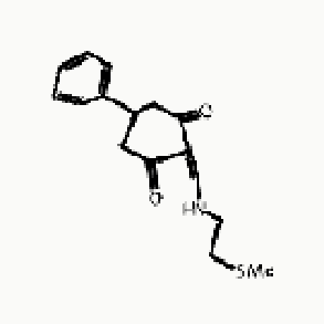 CSCCNC=C1C(=O)CC(c2ccccc2)CC1=O